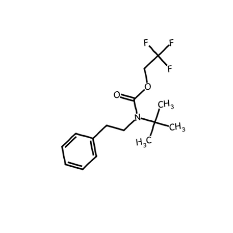 CC(C)(C)N(CCc1ccccc1)C(=O)OCC(F)(F)F